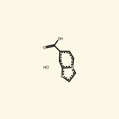 Cl.O=C(O)c1ccn2ccnc2c1